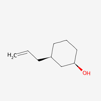 C=CC[C@H]1CCC[C@@H](O)C1